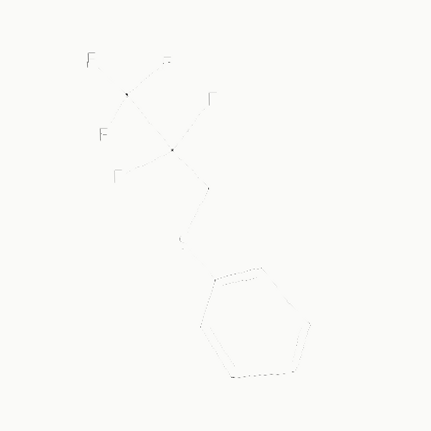 FC(F)(F)C(F)(F)CSc1ccccc1